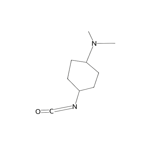 CN(C)C1CCC(N=C=O)CC1